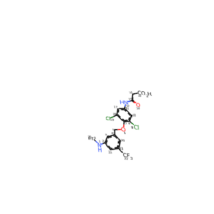 CC(C)Nc1cc(COc2c(Cl)cc(NC(=O)CC(=O)O)cc2Cl)cc(C(F)(F)F)c1